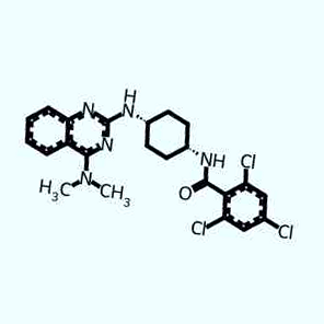 CN(C)c1nc(N[C@H]2CC[C@@H](NC(=O)c3c(Cl)cc(Cl)cc3Cl)CC2)nc2ccccc12